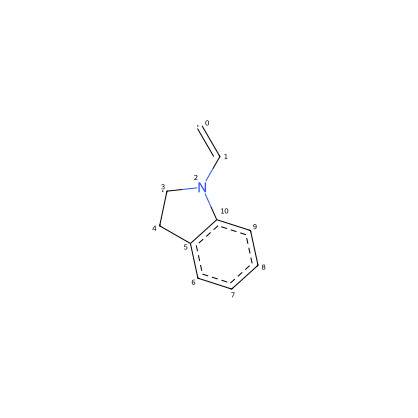 [CH]=CN1[CH]Cc2ccccc21